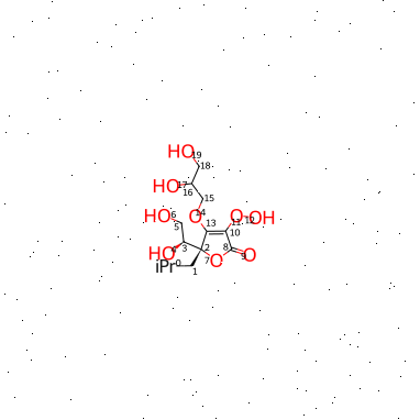 CC(C)C[C@]1([C@@H](O)CO)OC(=O)C(OO)=C1OCC(O)CO